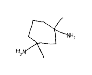 CC1(N)CCCC(C)(N)C1